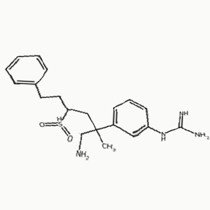 CC([CH]N)(CC(CCc1ccccc1)[SH](=O)=O)c1cccc(NC(=N)N)c1